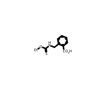 CCOC(=S)NCc1ccccc1C(=O)O